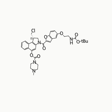 CN1CCN(C(=O)Oc2cc3c(c4ccccc24)[C@H](CCl)CN3C(=O)c2cc3cc(OCCNC(=O)OC(C)(C)C)ccc3o2)CC1